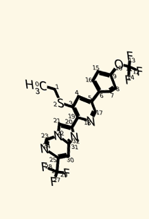 CCSc1cc(-c2ccc(OC(F)(F)F)cc2)cnc1-c1cn2cnc(C(F)(F)F)cc2n1